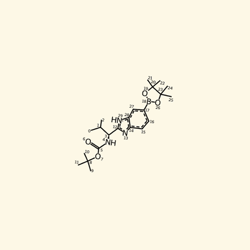 CC(C)[C@H](NC(=O)OC(C)(C)C)c1nc2ccc(B3OC(C)(C)C(C)(C)O3)cc2[nH]1